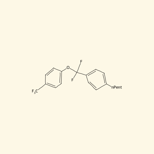 CCCCCc1ccc(C(F)(F)Oc2ccc(C(F)(F)F)cc2)cc1